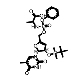 Cc1cn([C@@H]2OC(CO[P@@](=O)(NC(C)C(=O)O)Oc3ccccc3)=C[C@H]2O[Si](C)(C)C(C)(C)C)c(=O)[nH]c1=O